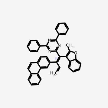 C=C/C(=C(/c1nc(-c2ccccc2)nc(-c2ccccc2)n1)c1c(C)oc2ccccc12)c1ccc2ccc3ccccc3c2c1